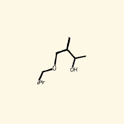 CC(C)COCC(C)C(C)O